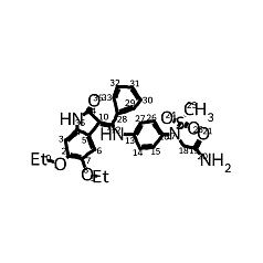 CCOc1cc2c(cc1OCC)C(=C(Nc1ccc(N(CC(N)=O)S(C)(=O)=O)cc1)c1ccccc1)C(=O)N2